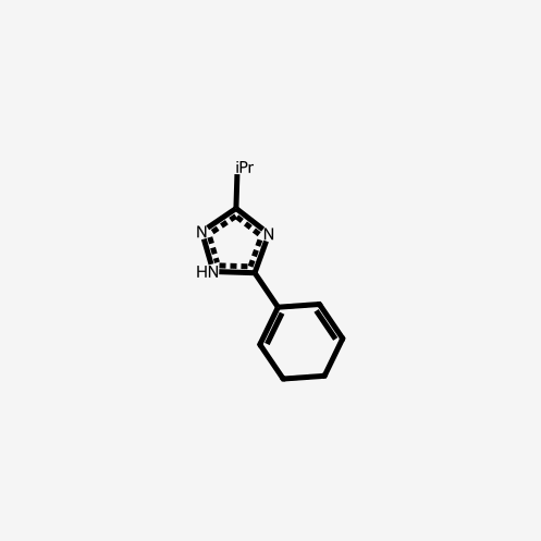 CC(C)c1n[nH]c(C2=CCCC=C2)n1